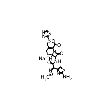 CO/N=C(/C(=O)NC1C(=O)N2C(C(=O)[O-])=C(CSc3nncs3)CS[C@H]12)c1csc(N)n1.[Na+]